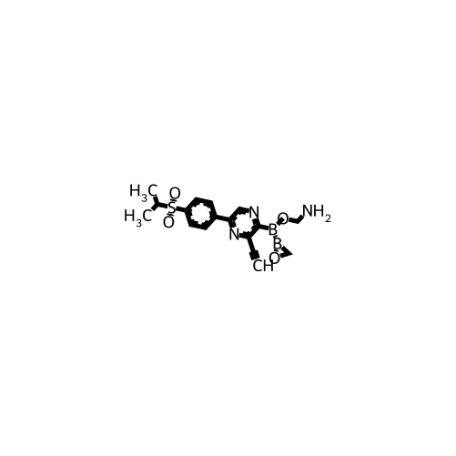 C#Cc1nc(-c2ccc(S(=O)(=O)C(C)C)cc2)cnc1B(OCN)B1CO1